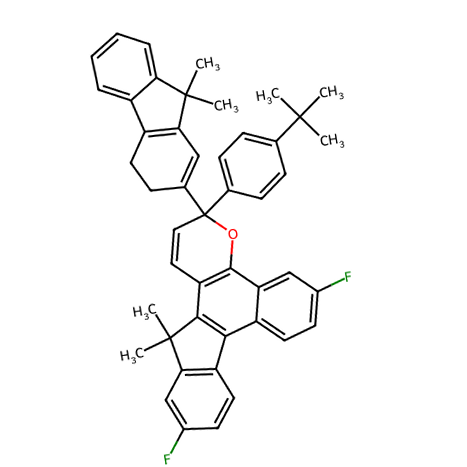 CC(C)(C)c1ccc(C2(C3=CC4=C(CC3)c3ccccc3C4(C)C)C=Cc3c4c(c5ccc(F)cc5c3O2)-c2ccc(F)cc2C4(C)C)cc1